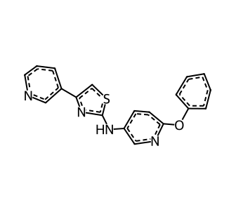 c1ccc(Oc2ccc(Nc3nc(-c4cccnc4)cs3)cn2)cc1